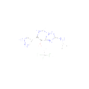 FC(F)(F)COc1c(-c2cn[nH]c2)ncn2nc(NC3CC3)nc12